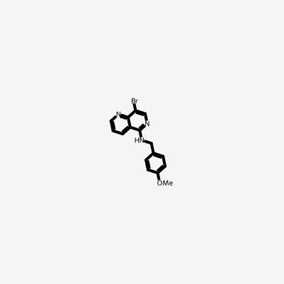 COc1ccc(CNc2ncc(Br)c3ncccc23)cc1